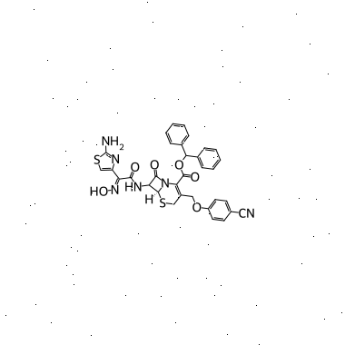 N#Cc1ccc(OCC2=C(C(=O)OC(c3ccccc3)c3ccccc3)N3C(=O)C(NC(=O)C(=NO)c4csc(N)n4)[C@@H]3SC2)cc1